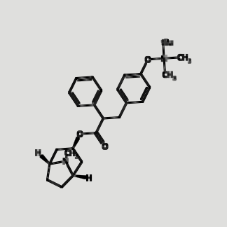 CN1[C@@H]2CC[C@H]1C[C@H](OC(=O)C(Cc1ccc(O[Si](C)(C)C(C)(C)C)cc1)c1ccccc1)C2